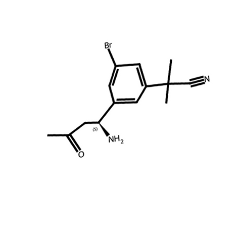 CC(=O)C[C@H](N)c1cc(Br)cc(C(C)(C)C#N)c1